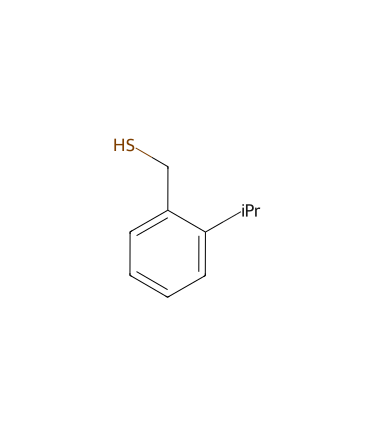 CC(C)c1ccccc1CS